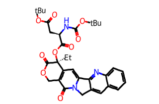 CC[C@@]1(OC(=O)[C@@H](CC(=O)OC(C)(C)C)NC(=O)OC(C)(C)C)C(=O)OCc2c1cc1n(c2=O)Cc2cc3ccccc3nc2-1